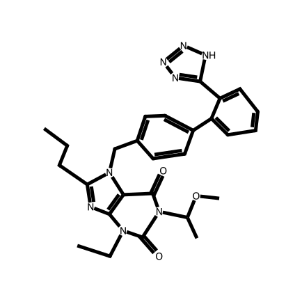 CCCc1nc2c(c(=O)n(C(C)OC)c(=O)n2CC)n1Cc1ccc(-c2ccccc2-c2nnn[nH]2)cc1